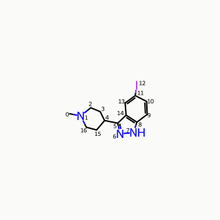 CN1CCC(c2n[nH]c3ccc(I)cc23)CC1